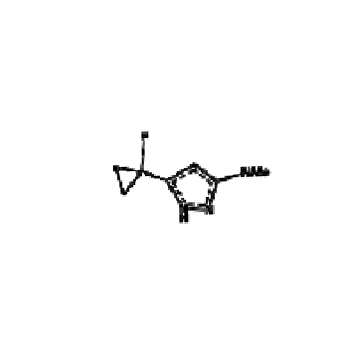 CNc1cc(C2(F)CC2)[nH]n1